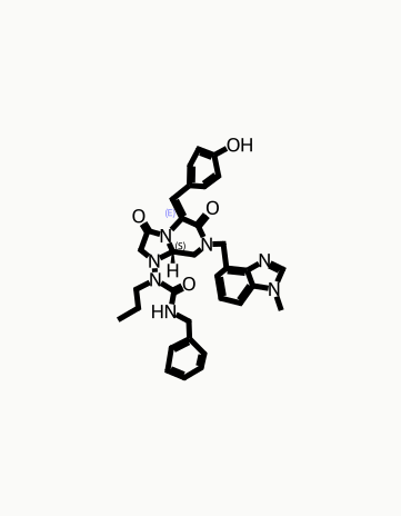 CCCN(C(=O)NCc1ccccc1)N1CC(=O)N2/C(=C/c3ccc(O)cc3)C(=O)N(Cc3cccc4c3ncn4C)C[C@@H]21